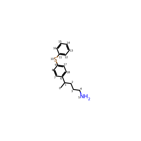 CC(CCCN)c1ccc(Sc2ccccc2)cc1